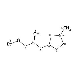 CCOC[C@@H](O)CC1CCN(C)C1